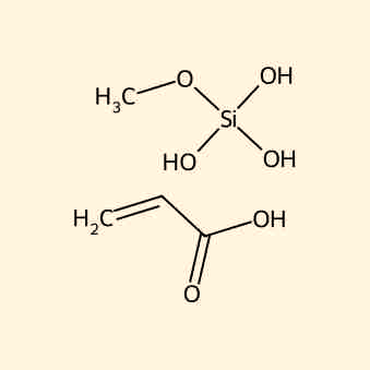 C=CC(=O)O.CO[Si](O)(O)O